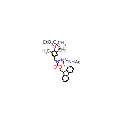 CCOC(=O)C(C)(C)Oc1c(C)cc(CN(CC(=O)NNC(C)=O)C(=O)OCC2c3ccccc3-c3ccccc32)cc1C